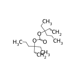 C=CC(CC)(CCC)OC(=O)OC(C=C)(CC)CCC